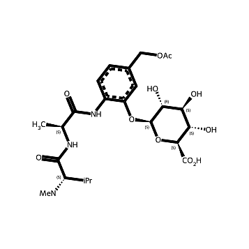 CN[C@H](C(=O)N[C@@H](C)C(=O)Nc1ccc(COC(C)=O)cc1O[C@@H]1O[C@H](C(=O)O)[C@@H](O)[C@H](O)[C@H]1O)C(C)C